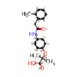 Cc1ccccc1CC(=O)Nc1ccc(OC(C)(C)C(=O)O)cc1